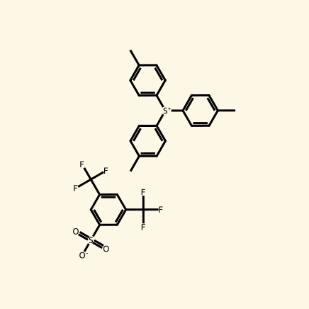 Cc1ccc([S+](c2ccc(C)cc2)c2ccc(C)cc2)cc1.O=S(=O)([O-])c1cc(C(F)(F)F)cc(C(F)(F)F)c1